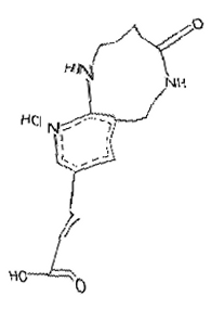 Cl.O=C(O)C=Cc1cnc2c(c1)CNC(=O)CCN2